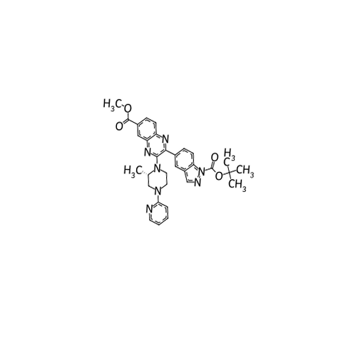 COC(=O)c1ccc2nc(-c3ccc4c(cnn4C(=O)OC(C)(C)C)c3)c(N3CCN(c4ccccn4)C[C@@H]3C)nc2c1